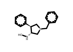 ON[C@H]1CN(Cc2ccccc2)C[C@@H]1c1ccccc1